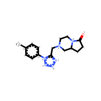 O=C1CCC2CN(Cc3nnnn3-c3ccc(C(F)(F)F)cc3)CCN12